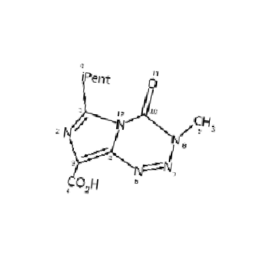 CCCC(C)c1nc(C(=O)O)c2nnn(C)c(=O)n12